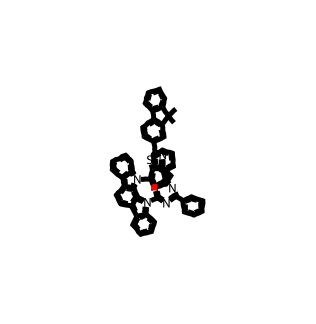 CC1(C)c2ccccc2-c2ccc(-c3nc4cccc(-n5c6ccccc6c6ccc7c8ccccc8n(-c8nc(-c9ccccc9)nc(-c9ccccc9)n8)c7c65)c4s3)cc21